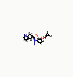 O=C(Nc1cccc(OCC2CC2)c1)c1ccc2ncccc2c1